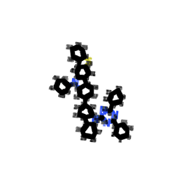 c1ccc(-c2nc(-c3ccccc3)nc(-n3c4ccccc4c4ccc(-c5ccc6c7cc8sc9ccccc9c8cc7n(-c7ccccc7)c6c5)cc43)n2)cc1